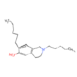 CCCCCc1cc2c(cc1O)CCN(CCCCC)C2